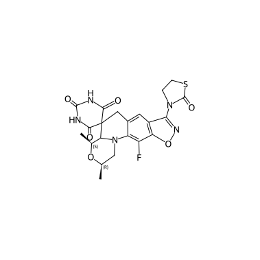 C[C@@H]1CN2c3c(cc4c(N5CCSC5=O)noc4c3F)CC3(C(=O)NC(=O)NC3=O)C2[C@H](C)O1